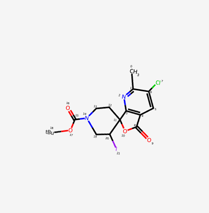 Cc1nc2c(cc1Cl)C(=O)OC21CCN(C(=O)OC(C)(C)C)CC1I